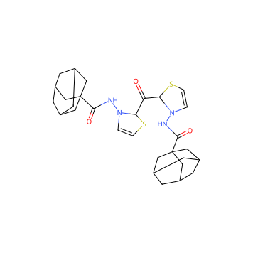 O=C(C1SC=CN1NC(=O)C12CC3CC(CC(C3)C1)C2)C1SC=CN1NC(=O)C12CC3CC(CC(C3)C1)C2